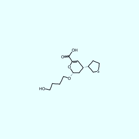 O=C(O)C1=C[C@H](C2CCSC2)C[C@H](OCCCCO)O1